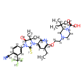 CCc1cc(N2C(=S)N(c3ccc(C#N)c(C(F)(F)F)c3)C(=O)C2(C)C)cnc1OCCN1CCN(C(=O)O)C(C(C)(C)C)C1